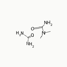 CN(C)C(N)=O.NC(N)=O